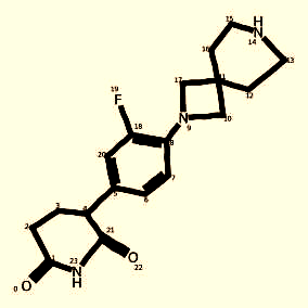 O=C1CCC(c2ccc(N3CC4(CCNCC4)C3)c(F)c2)C(=O)N1